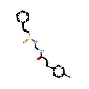 O=C(/C=C/c1ccc(Br)cc1)NCN[S+]([O-])/C=C/c1ccccc1